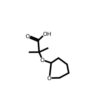 CC(C)(OC1CCCCO1)C(=O)O